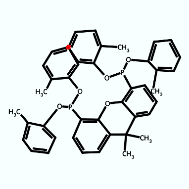 Cc1ccccc1OP(Oc1ccccc1C)c1cccc2c1Oc1c(P(Oc3ccccc3C)Oc3ccccc3C)cccc1C2(C)C